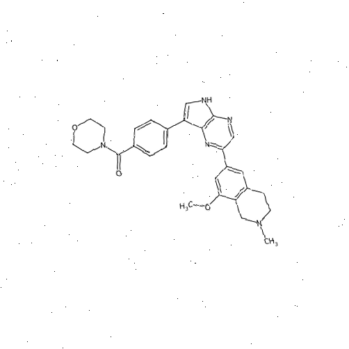 COc1cc(-c2cnc3[nH]cc(-c4ccc(C(=O)N5CCOCC5)cc4)c3n2)cc2c1CN(C)CC2